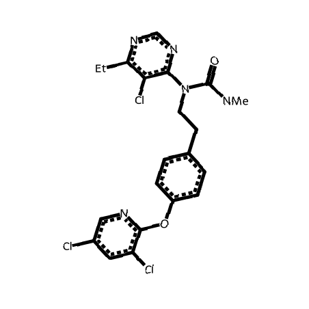 CCc1ncnc(N(CCc2ccc(Oc3ncc(Cl)cc3Cl)cc2)C(=O)NC)c1Cl